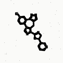 Clc1ccc2c(c1)-n1nncc1Cc1c(C3=NCC(c4cccnc4)O3)ncn1-2